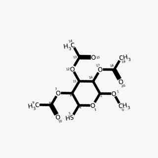 COC1OC(S)C(OC(C)=O)C(OC(C)=O)C1OC(C)=O